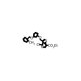 CCOC(=O)c1cnc(Cl)c2c(COc3cccc(OCc4ccccc4C)c3)csc12